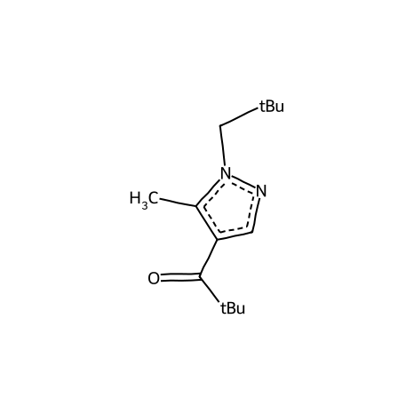 Cc1c(C(=O)C(C)(C)C)cnn1CC(C)(C)C